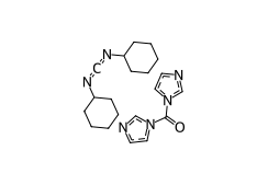 C(=NC1CCCCC1)=NC1CCCCC1.O=C(n1ccnc1)n1ccnc1